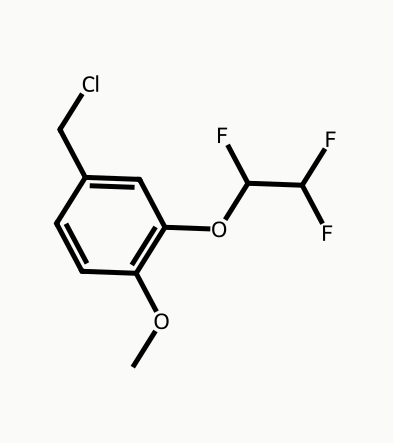 COc1ccc(CCl)cc1OC(F)C(F)F